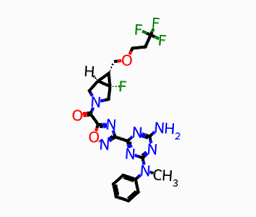 CN(c1ccccc1)c1nc(N)nc(-c2noc(C(=O)N3C[C@H]4[C@H](COCCC(F)(F)F)[C@@]4(F)C3)n2)n1